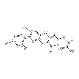 CC(Oc1cc(Cl)c(Cc2ccc(O)c(-c3ccc(F)cc3F)c2)c(Cl)c1)C(=O)O